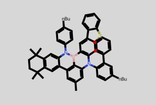 CCCCc1ccc(N2B3C4=C(CC5Sc6ccccc6C5=C4)N(c4ccc(CCCC)cc4C4=C=C=CC=C4)c4cc(C)cc(c43)-c3cc4c(cc32)C(C)(C)CCC4(C)C)cc1